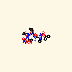 CC(C(=O)O)N(C)C(=O)CCN(CCO[Si](C)(C)C(C)(C)C)C(=O)CN(CCO[Si](C)(C)C(C)(C)C)C(=O)CN(CCO[Si](C)(C)C(C)(C)C)C(=O)CNC(=O)CCn1c(CN(C)N(C)C(=O)OCC2c3ccccc3-c3ccccc32)cc2ccccc21